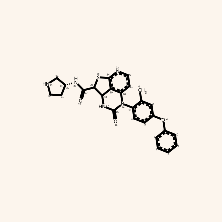 Cc1cc(Oc2ccccc2)ccc1N1C(=O)NC2c3c1ccnc3SC2C(=O)N[C@@H]1CCNC1